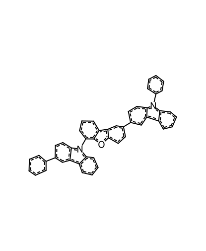 c1ccc(-c2ccc3c(c2)c2ccccc2n3-c2cccc3c2oc2ccc(-c4ccc5c(c4)c4ccccc4n5-c4ccccc4)cc23)cc1